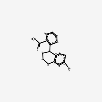 NC(=O)c1ncccc1C1CCCc2cc(Br)ccc21